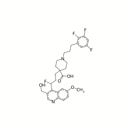 COc1ccc2ncc(CO)c(C(F)CCC3(C(=O)O)CCN(CCCc4cc(F)cc(F)c4F)CC3)c2c1